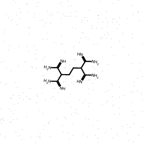 N=C(N)C(CCC(C(=N)N)C(=N)N)C(=N)N